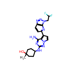 CC1(O)CCC(Nc2nc(N)c3c(-c4ccc5nnn(CC(F)F)c5n4)ccn3n2)CC1